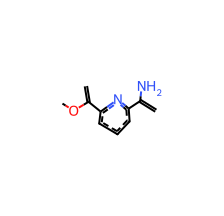 C=C(N)c1cccc(C(=C)OC)n1